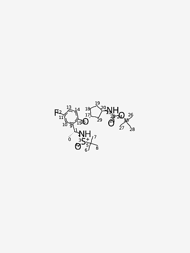 C[C@@H](N[S@+]([O-])C(C)(C)C)c1cc(F)ccc1O[C@@H]1CC[C@@H](NC(=O)OC(C)(C)C)C1